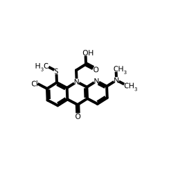 CSc1c(Cl)ccc2c(=O)c3ccc(N(C)C)nc3n(CC(=O)O)c12